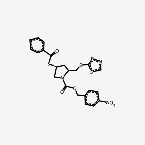 O=C(S[C@H]1C[C@@H](CSc2nncs2)N(C(=O)OCc2ccc([N+](=O)[O-])cc2)C1)c1ccccc1